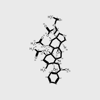 CC(=O)OCC[C@]12COC[C@H]1[C@]1(C)CC[C@@H]3[C@@](C)(C1[C@H](OC(C)=O)[C@@H]2OC(C)=O)[C@H](OC(C)=O)C=C(C)[C@]3(O)C[C@@H](C)c1ccccc1